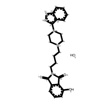 Cl.O=C1c2cccc(O)c2C(=O)N1CCCCN1CCN(c2nsc3ccccc23)CC1